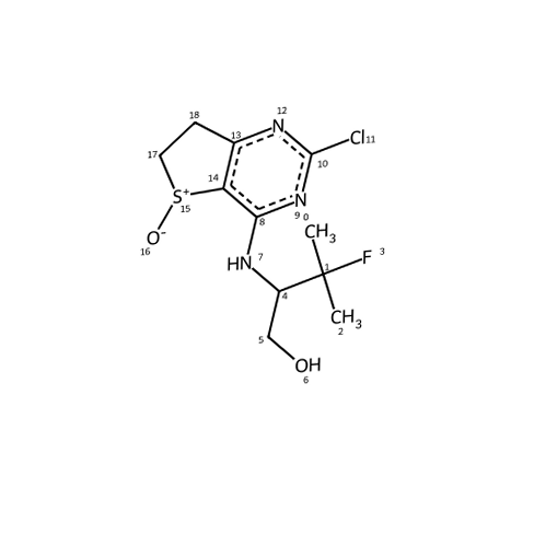 CC(C)(F)C(CO)Nc1nc(Cl)nc2c1[S+]([O-])CC2